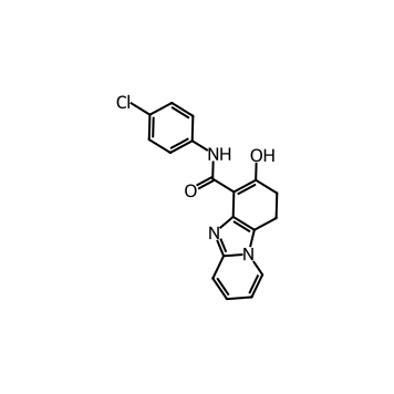 O=C(Nc1ccc(Cl)cc1)C1=C(O)CCc2c1nc1ccccn21